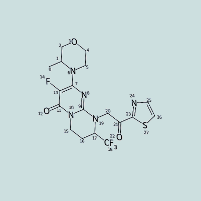 CC1COCCN1c1nc2n(c(=O)c1F)CCC(C(F)(F)F)N2CC(=O)c1nccs1